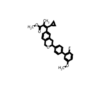 COC(=O)/C(C)=C(\c1ccc2c(c1)CC(c1ccc(-c3cc(OC)ccc3F)cc1)OC2)C1CC1